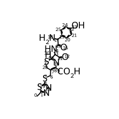 Cc1nnc(SCC2=C(C(=O)O)N3C(=O)C(NC(=O)C(N)c4ccc(O)cc4)[C@@H]3SC2)s1